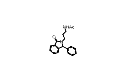 CC(=O)NCCCN1C(=O)c2ccccc2C1c1ccccc1